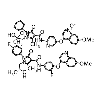 COc1ccc2c(Oc3ccc(NC(=O)c4c(C)n(CC(C)(C)O)n(-c5ccccc5)c4=O)nc3)cc[n+]([O-])c2c1.COc1ccc2c(Oc3ccc(NC(=O)c4c(C)n(C[C@@H](C)O)n(-c5ccc(F)cc5)c4=O)cc3F)ccnc2c1